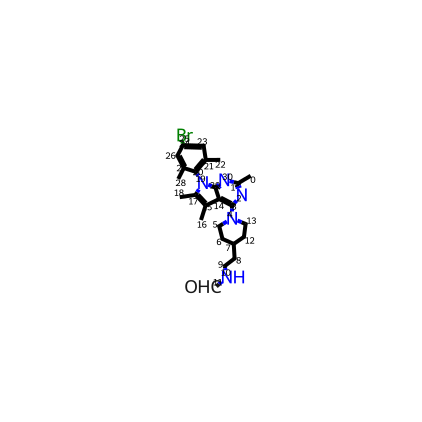 Cc1nc(N2CCC(CCNC=O)CC2)c2c(C)c(C)n(-c3c(C)cc(Br)cc3C)c2n1